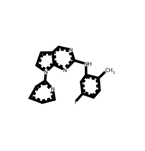 Cc1ccc(I)cc1Nc1ncc2ccn(-c3ccccn3)c2n1